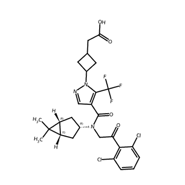 CC1(C)[C@@H]2C[C@H](N(CC(=O)c3c(Cl)cccc3Cl)C(=O)c3cnn(C4CC(CC(=O)O)C4)c3C(F)(F)F)C[C@@H]21